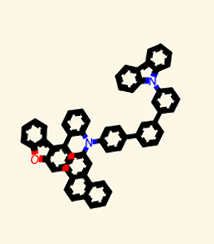 c1cc(-c2ccc(N(c3ccc4ccc5ccccc5c4c3)c3ccccc3-c3cccc4oc5ccccc5c34)cc2)cc(-c2cccc(-n3c4ccccc4c4ccccc43)c2)c1